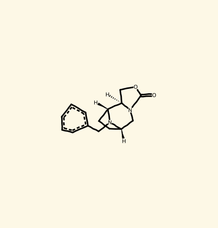 O=C1OC[C@@H]2[C@H]3CC[C@@H](CN12)N3Cc1ccccc1